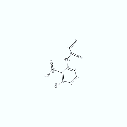 C=CC(=O)Nc1cccc(Cl)c1[N+](=O)[O-]